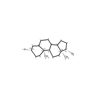 CC(=O)[C@H]1CCC2C3CCC4C[C@@H](F)CC[C@]4(C)C3CC[C@@]21C